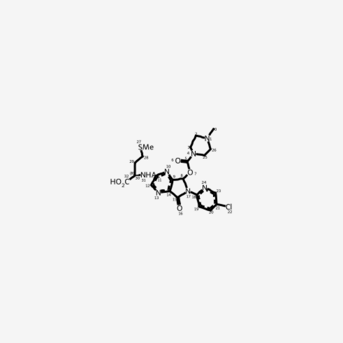 CN1CCN(C(=O)OC2c3nccnc3C(=O)N2c2ccc(Cl)cn2)CC1.CSCC[C@@H](NC(C)=O)C(=O)O